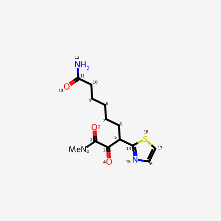 CNC(=O)C(=O)C(CCCCCC(N)=O)c1nccs1